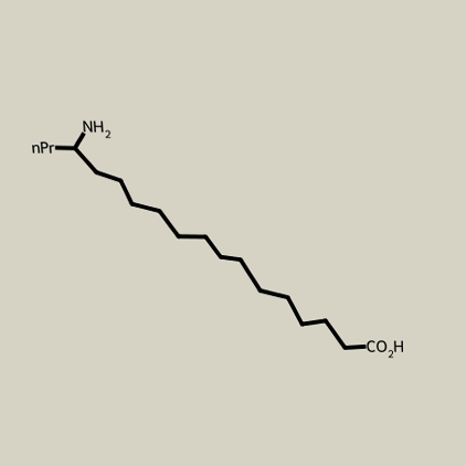 CCCC(N)CCCCCCCCCCCCCC(=O)O